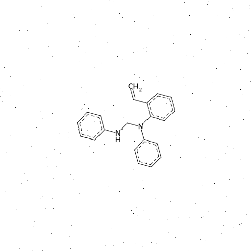 C=Cc1ccccc1N(CNc1ccccc1)c1ccccc1